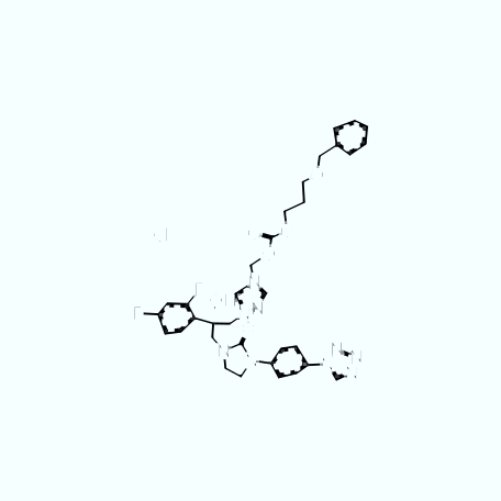 C[C@@H](N1CCN(c2ccc(-n3cnnn3)cc2)C1=O)[C@](O)(C[n+]1cn(COC(=O)OCCCOCc2ccccc2)cn1)c1ccc(F)cc1F.[Cl-]